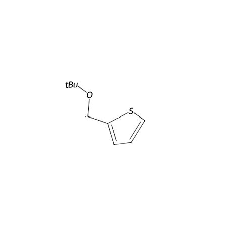 CC(C)(C)O[CH]c1cccs1